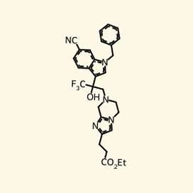 CCOC(=O)CCc1cn2c(n1)CN(CC(O)(c1cn(Cc3ccccc3)c3cc(C#N)ccc13)C(F)(F)F)CC2